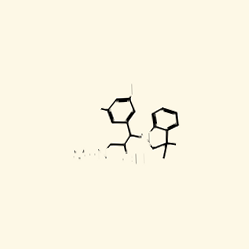 CNCC(O)C(c1cc(F)cc(F)c1)N1CC(C)(C)c2ccccc21